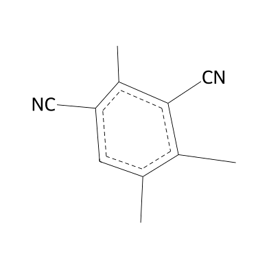 Cc1cc(C#N)c(C)c(C#N)c1C